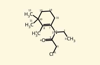 CCN(C(=O)CCl)C1=C(C)C(C)(C)CCC1